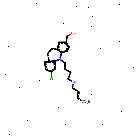 CCOC(=O)/C=C/CNCCCCN1c2ccc(CO)cc2CCc2ccc(Cl)cc21